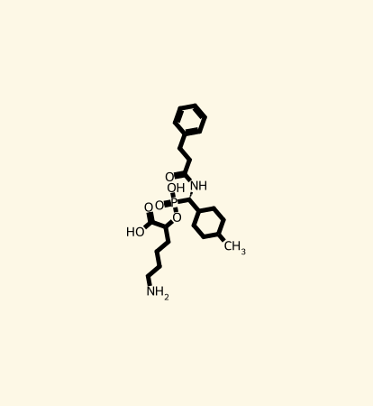 CC1CCC([C@@H](NC(=O)CCc2ccccc2)P(=O)(O)OC(CCCCN)C(=O)O)CC1